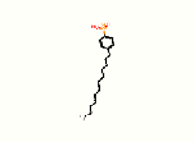 CCCCCCCCCCCCc1ccc([PH](=O)O)cc1